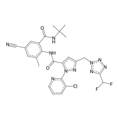 Cc1cc(C#N)cc(C(=O)NC(C)(C)C)c1NC(=O)c1cc(Cn2nnc(C(F)F)n2)nn1-c1ncccc1Cl